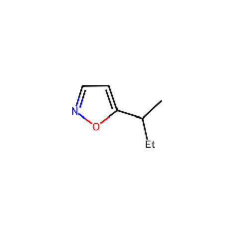 CCC(C)c1ccno1